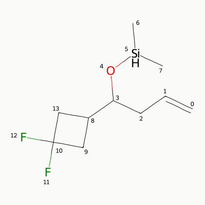 C=CCC(O[SiH](C)C)C1CC(F)(F)C1